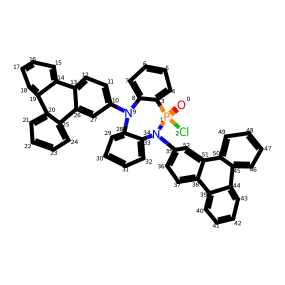 O=P1(Cl)c2ccccc2N(c2ccc3c4ccccc4c4ccccc4c3c2)c2ccccc2N1c1ccc2c3ccccc3c3ccccc3c2c1